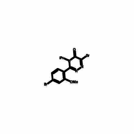 COc1cc(Br)ccc1-c1nnc(Br)c(=O)n1C(C)C